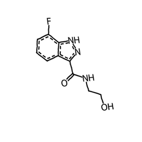 O=C(NCCO)c1n[nH]c2c(F)cccc12